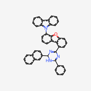 c1ccc(C2=NC(c3cccc4oc5c(-n6c7ccccc7c7ccccc76)cccc5c34)=NC(c3ccc4ccccc4c3)N2)cc1